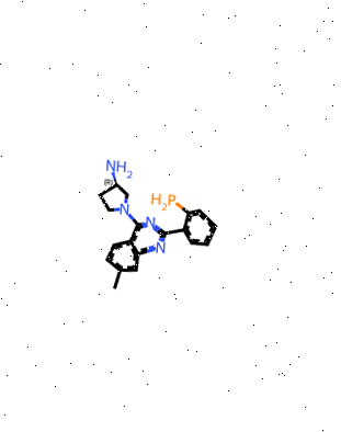 Cc1ccc2c(N3CC[C@@H](N)C3)nc(-c3ccccc3P)nc2c1